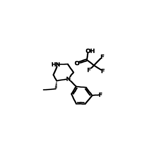 CC[C@@H]1CNCCN1c1cccc(F)c1.O=C(O)C(F)(F)F